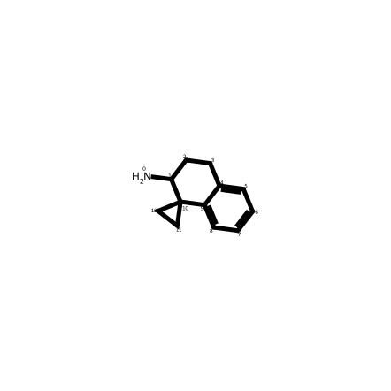 NC1CCc2ccccc2C12CC2